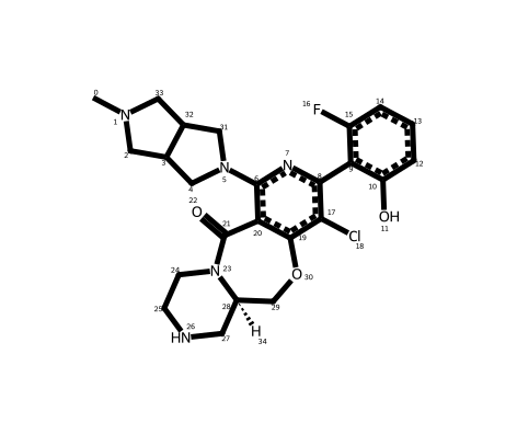 CN1CC2CN(c3nc(-c4c(O)cccc4F)c(Cl)c4c3C(=O)N3CCNC[C@@H]3CO4)CC2C1